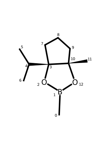 CB1O[C@]2(C(C)C)CCC[C@]2(C)O1